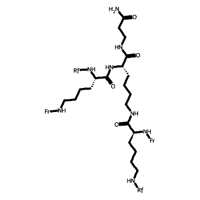 NC(=O)CCNC(=O)[C@H](CCCCNC(=O)[C@H](CCCC[NH][Rf])[NH][Fr])NC(=O)[C@H](CCCC[NH][Fr])[NH][Rf]